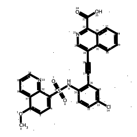 COc1ccc(S(=O)(=O)Nc2ccc(Cl)cc2C#Cc2cnc(C(=O)O)c3ccccc23)c2ncccc12